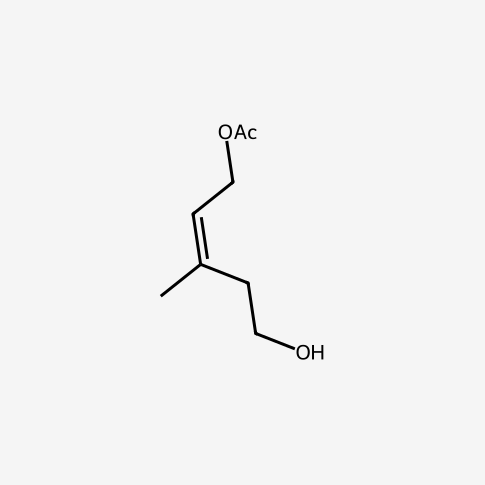 CC(=O)OCC=C(C)CCO